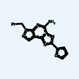 CC(C)Cn1ncc2c1nc(N)n1nc(-c3ccco3)nc21